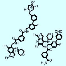 CCc1nc2c(cnn2CC)c(NC2CCOCC2)c1CN(Cc1ccc(F)c(-c2cccc(C=O)c2)c1)C(=O)c1cccc(C(N)=O)c1.CCc1nc2c(cnn2CC)c(NC2CCOCC2)c1CNC(=O)c1cccc(C(=O)NCc2ccc(F)c(-c3cccc(CN4C[C@@H]5CC[C@H]4CN5C(C)=O)c3)c2)c1